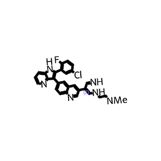 CNCCN/C=C(\C=N)c1cnc2ccc(-c3c(-c4cc(Cl)ccc4F)[nH]c4cccnc34)cc2c1